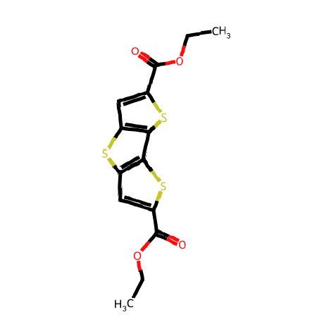 CCOC(=O)c1cc2sc3cc(C(=O)OCC)sc3c2s1